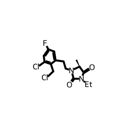 CCN1C(=O)[C@H](C)N(CCc2cc(F)cc(Cl)c2CCl)C1=O